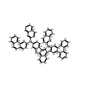 c1ccc2cc(N(c3ccc4c(c3)sc3c5ccccc5c5c6cc7c8ccccc8c8ccccc8c7cc6n(-c6ccc7ccccc7n6)c5c43)c3ccc4ccc5ccccc5c4c3)ccc2c1